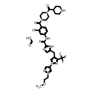 COCCn1cc(-n2cc(Cc3cnc(C(=O)Nc4ccc(C(=O)N5CCN(C(=O)C6CCNCC6)CC5)c(Cl)c4)[nH]3)c(C(F)(F)F)n2)cn1.O=CO